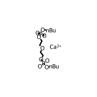 CCCCOP(=O)([O-])OCCOCCOP(=O)([O-])OCCCC.[Ca+2]